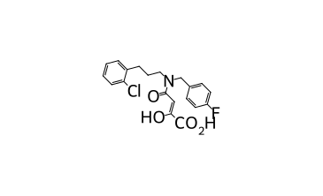 O=C(O)C(O)=CC(=O)N(CCCc1ccccc1Cl)Cc1ccc(F)cc1